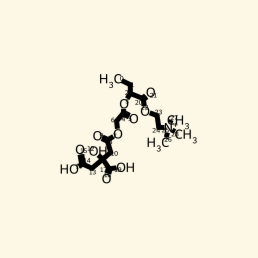 CCC(OC(=O)COC(=O)CC(O)(CC(=O)O)C(=O)O)C(=O)OCC[N+](C)(C)C